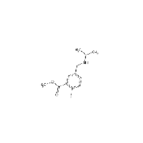 COC(=O)c1cc(CNC(C)C)ccc1I